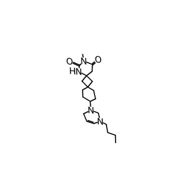 CCCCN1C=CCN(C2CCC3(CC2)CC2(CC(=O)N(C)C(=O)N2)C3)C1